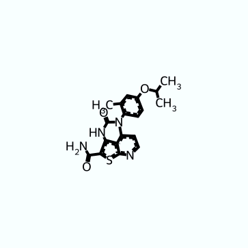 Cc1cc(OC(C)C)ccc1N1C(=O)Nc2c(C(N)=O)sc3nccc1c23